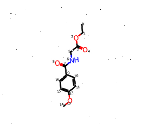 CCOC(=O)CNC(=O)c1ccc(OC)cc1